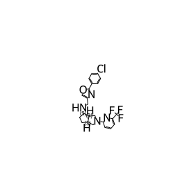 FC(F)(F)c1cccc(N2C[C@H]3CC[C@H](NCc4coc(-c5ccc(Cl)cc5)n4)[C@H]3C2)n1